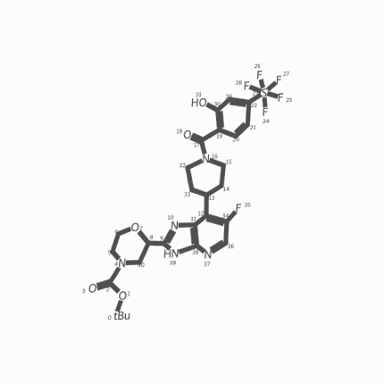 CC(C)(C)OC(=O)N1CCOC(c2nc3c(C4CCN(C(=O)c5ccc(S(F)(F)(F)(F)F)cc5O)CC4)c(F)cnc3[nH]2)C1